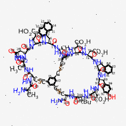 C[C@H]1NC(=O)[C@H](Cc2cccc3ccccc23)NC(=O)[C@H](CCC(=O)O)NC(=O)[C@H](CC(N)=O)NC(=O)[C@@H](C)NC(=O)[C@@H](NC(=O)[C@H](C)N)CSCc2cc3cc(c2)CSC[C@@H](N1)C(=O)N[C@@H](CCC(=O)O)C(=O)N[C@@H](CC(=O)O)C(=O)N[C@@H](Cc1ccccc1)C(=O)N[C@@H](Cc1ccc(O)cc1)C(=O)N[C@@H](CC(=O)O)C(=O)N[C@@H](C(C)(C)C)C(=O)N[C@H](C(N)=O)CSC3